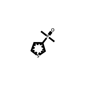 CP(C)(=O)c1ccsc1